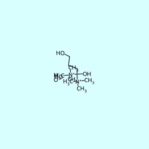 C[N+](C)(C)C(O)(CCCO)[N+](C)(C)C.[OH-].[OH-]